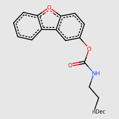 CCCCCCCCCCCCNC(=O)Oc1ccc2oc3ccccc3c2c1